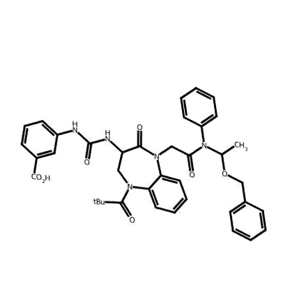 CC(OCc1ccccc1)N(C(=O)CN1C(=O)C(NC(=O)Nc2cccc(C(=O)O)c2)CN(C(=O)C(C)(C)C)c2ccccc21)c1ccccc1